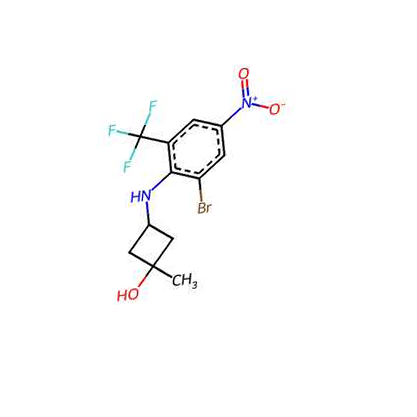 CC1(O)CC(Nc2c(Br)cc([N+](=O)[O-])cc2C(F)(F)F)C1